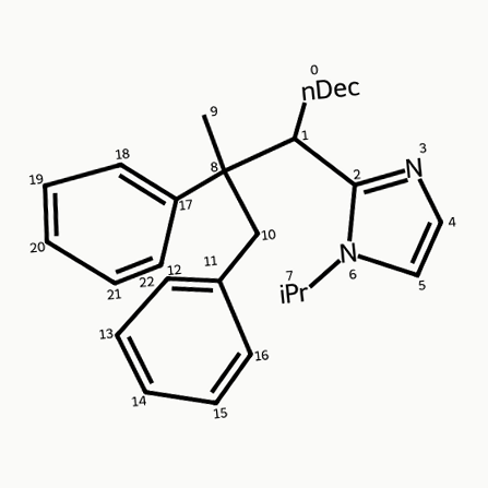 CCCCCCCCCCC(c1nccn1C(C)C)C(C)(Cc1ccccc1)c1ccccc1